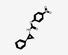 O=C(N[C@@H]1C[C@H]1c1ccccc1)Oc1ccc([N+](=O)[O-])cc1